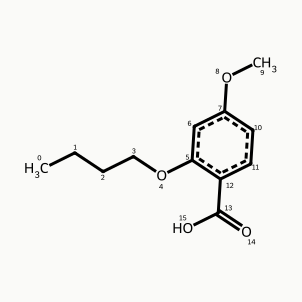 CCCCOc1cc(OC)ccc1C(=O)O